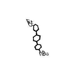 CCCCC1CCC(C2CCC(C3CCCC(OCC)C3)CC2)CC1